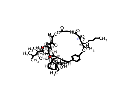 CCCCO[C@]1(CO)/C=C/C(=O)NCC(=O)OC[C@@H]2NC(=O)[C@@H]([C@@H](C)O)NC(=O)[C@H](Cc3ccccc3)N(C)C(=O)[C@@H](NC(=O)[C@@H]([C@@H](C)CC)NC(=O)[C@@H](NC(=O)[C@H](C)[C@H](O)C(C)C)[C@@H](C)OC2=O)c2ccc(cc2)O[C@@H]1C